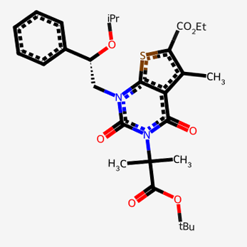 CCOC(=O)c1sc2c(c1C)c(=O)n(C(C)(C)C(=O)OC(C)(C)C)c(=O)n2C[C@@H](OC(C)C)c1ccccc1